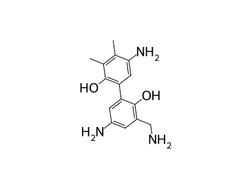 Cc1c(N)cc(-c2cc(N)cc(CN)c2O)c(O)c1C